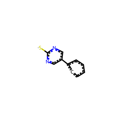 [S]c1ncc(-c2ccccc2)cn1